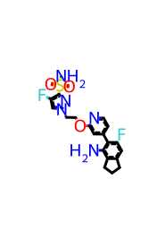 Nc1c2c(cc(F)c1-c1ccnc(OCCn3cc(F)c(S(N)(=O)=O)n3)c1)CCC2